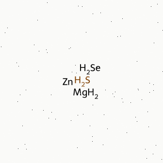 S.[MgH2].[SeH2].[Zn]